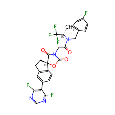 C[C@H](N(Cc1ccc(F)cc1)C(=O)CN1C(=O)O[C@@]2(CCc3cc(-c4c(F)ncnc4F)ccc32)C1=O)C(F)(F)F